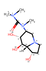 CN(C)C(=O)N(C)[C@H]1CN2CC[C@H](O)[C@@H]2[C@@H](O)[C@@H]1O